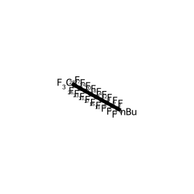 CCCCC(F)(F)C(F)(F)C(F)(F)C(F)(F)C(F)(F)C(F)(F)C(F)(F)C(F)(F)C(F)(F)C(F)(F)F